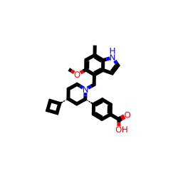 COc1cc(C)c2[nH]ccc2c1CN1CC[C@@H](C2CCC2)C[C@H]1c1ccc(C(=O)O)cc1